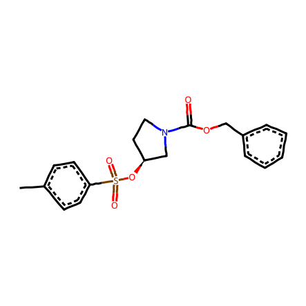 Cc1ccc(S(=O)(=O)O[C@H]2CCN(C(=O)OCc3ccccc3)C2)cc1